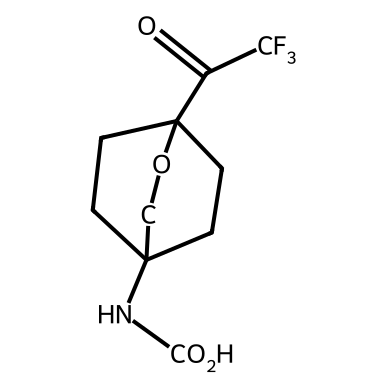 O=C(O)NC12CCC(C(=O)C(F)(F)F)(CC1)OC2